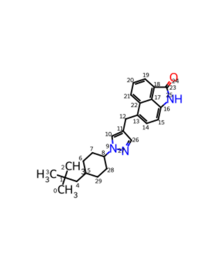 CC(C)(C)CC1CCC(n2cc(Cc3ccc4c5c(cccc35)C(=O)N4)cn2)CC1